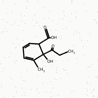 CCC(=O)C1(O)C(C)=CC=CC1C(=O)O